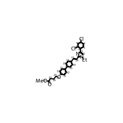 CCn1cc(-c2ccc(Cl)cc2Cl)nc1C=Cc1ccc(-c2ccc(OCCCC(=O)OC)cc2)cc1